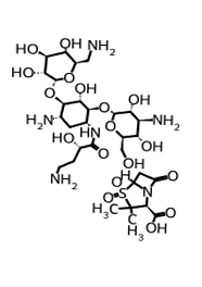 CC1(C)[C@H](C(=O)O)N2C(=O)C[C@H]2S1(=O)=O.NCC[C@H](O)C(=O)N[C@@H]1C[C@H](N)[C@@H](O[C@H]2O[C@H](CN)[C@@H](O)[C@H](O)[C@H]2O)[C@H](O)[C@H]1O[C@H]1O[C@H](CO)[C@@H](O)[C@H](N)[C@H]1O